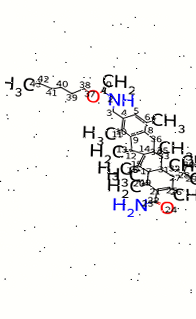 C=C(NCc1cc(C)c2c(c1C)C(=C)C1=C(C)[C@]3(C)C(=C)C(C(N)=O)=C(C)[C@@H](C(C)C)[C@]3(C)C[C@]1(C)C2)OCCCCCC